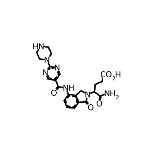 NC(=O)C(CCC(=O)O)N1Cc2c(NC(=O)c3cnc(N4CCNCC4)nc3)cccc2C1=O